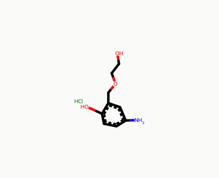 Cl.Nc1ccc(O)c(COCCO)c1